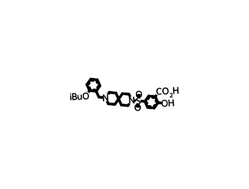 CC(C)COc1ccccc1CN1CCC2(CC1)CCN(S(=O)(=O)c1ccc(O)c(C(=O)O)c1)CC2